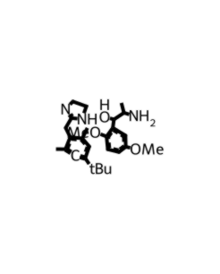 COc1ccc(OC)c(C(O)C(C)N)c1.Cc1cc(C(C)(C)C)cc(C)c1CC1=NCCN1